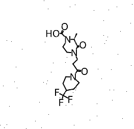 C[C@H]1C(=O)N(CCC(=O)N2CCC(C(F)(F)F)CC2)CCN1C(=O)O